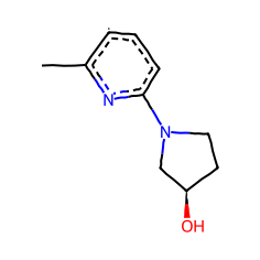 Cc1[c]ccc(N2CC[C@@H](O)C2)n1